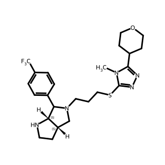 Cn1c(SCCCN2C[C@@H]3CCN[C@@H]3C2c2ccc(C(F)(F)F)cc2)nnc1C1CCOCC1